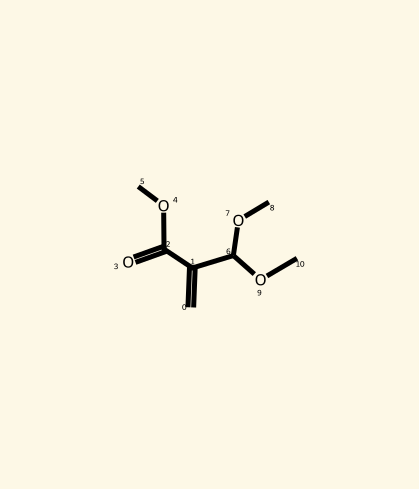 C=C(C(=O)OC)C(OC)OC